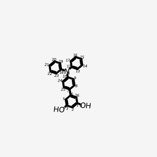 Oc1cc(O)cc(-c2ccc(N(c3ccccc3)c3ccccc3)cc2)c1